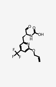 C=CCOc1cc(C(F)(F)F)cc(C[C@@H](C=O)NC(=O)O)n1